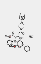 COC(=O)C1=C(CC(=O)N2CCN(C3CC4CCC(C3)N4C(C)=O)CC2)NC(C[S+]([O-])c2ccccc2)=C(C(=O)OC)[C@H]1c1c(Cl)cccc1Cl.Cl